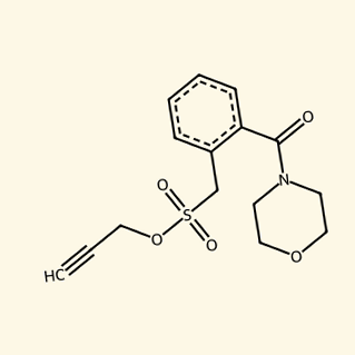 C#CCOS(=O)(=O)Cc1ccccc1C(=O)N1CCOCC1